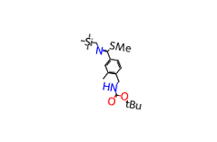 CSC(=NC[Si](C)(C)C)c1ccc(CNC(=O)OC(C)(C)C)c(C)c1